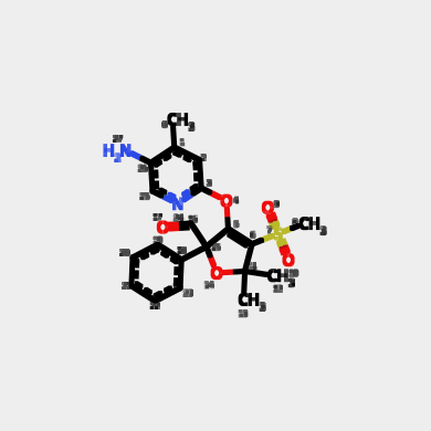 Cc1cc(OC2=C(S(C)(=O)=O)C(C)(C)OC2(C=O)c2ccccc2)ncc1N